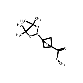 COC(=O)C12CC(B3OC(C)(C)C(C)(C)O3)(C1)C2